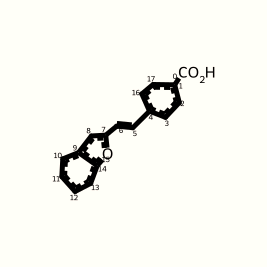 O=C(O)c1ccc(/C=C/c2cc3ccccc3o2)cc1